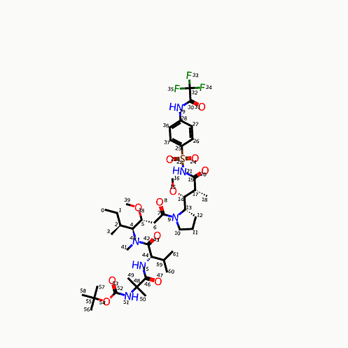 CC[C@H](C)[C@@H]([C@@H](CC(=O)N1CCC[C@H]1[C@H](OC)[C@@H](C)C(=O)NS(=O)(=O)c1ccc(NC(=O)C(F)(F)F)cc1)OC)N(C)C(=O)[C@@H](NC(=O)C(C)(C)NC(=O)OC(C)(C)C)C(C)C